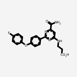 NC(=O)c1cc(NCCC(=O)O)nc(-c2ccc(Oc3ccc(F)cc3)cc2)n1